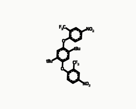 CC(C)(C)c1cc(Oc2ccc([N+](=O)[O-])cc2C(F)(F)F)c(C(C)(C)C)cc1Oc1ccc([N+](=O)[O-])cc1C(F)(F)F